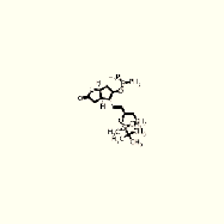 CCC(/C=C/[C@@H]1[C@H]2CC(=O)O[C@H]2C[C@H]1OB(P)P)O[Si](C)(C)C(C)(C)C